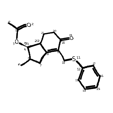 CC(=O)O[C@@H]1C(C)CC2=C(CSc3ccccc3)C(=O)CCC21